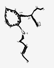 CC=CCOc1ccccc1C(C)CC